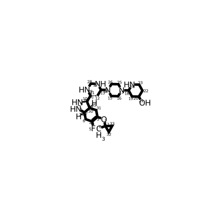 CC1(OC2=C(F)C[C@H]3NN[C@@H]([C@H]4CC(N5CCN(C6CC(O)CCN6)CC5)NCN4)[C@H]3C2)CC1